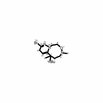 CCCCC1(C)CCN(C)OCCN2N=C(Br)CC=C21